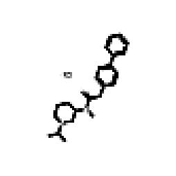 CC(C)N1CCCC(N(C)C(=O)Cc2ccc(-c3ccccc3)cc2)C1.Cl